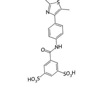 Cc1nc(-c2ccc(NC(=O)c3cc(S(=O)(=O)O)cc(S(=O)(=O)O)c3)cc2)c(C)s1